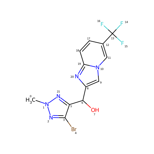 Cn1nc(Br)c(C(O)c2cn3cc(C(F)(F)F)ccc3n2)n1